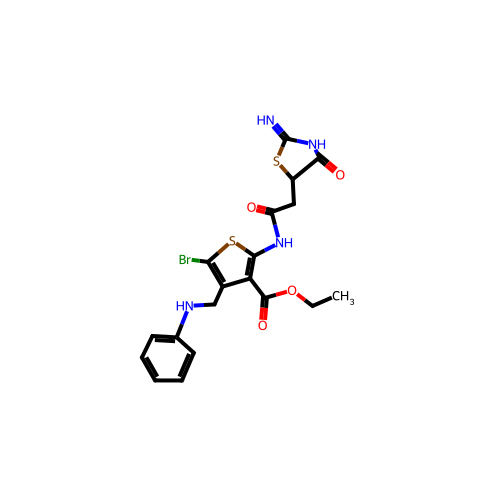 CCOC(=O)c1c(NC(=O)CC2SC(=N)NC2=O)sc(Br)c1CNc1ccccc1